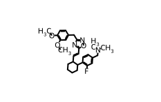 COc1ccc(Cc2noc(C=CC3CCCCC3c3ccc(CN(C)C)cc3F)n2)cc1OC